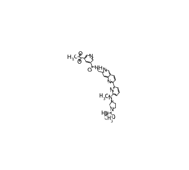 CNC(=O)N1CC[C@H](N(C)c2cccc(-c3ccc4cnc(CNC(=O)c5cncc(S(C)(=O)=O)c5)cc4n3)n2)C1